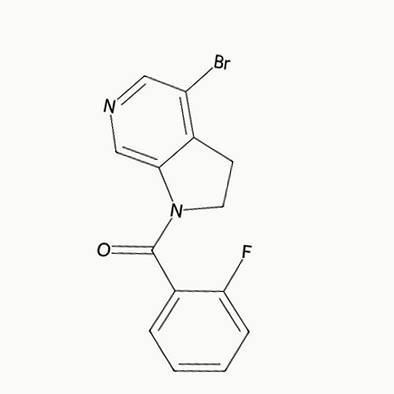 O=C(c1ccccc1F)N1CCc2c(Br)cncc21